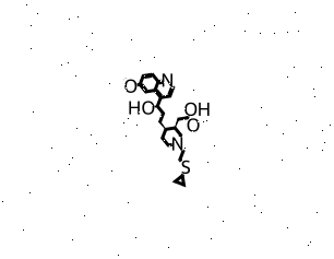 COc1ccc2nccc([C@H](O)CC[C@@H]3CCN(CCSC4CC4)C[C@@H]3CC(=O)O)c2c1